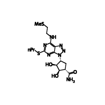 CCCSc1nc(NCCSC)c2nnn([C@@H]3C[C@H](C(N)=O)[C@@H](O)[C@H]3O)c2n1